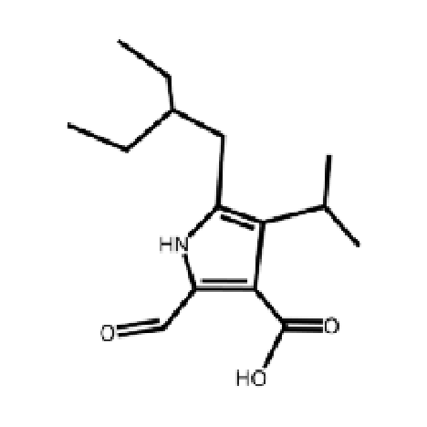 CCC(CC)Cc1[nH]c(C=O)c(C(=O)O)c1C(C)C